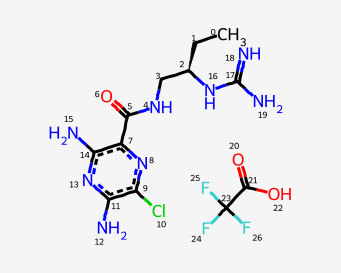 CC[C@H](CNC(=O)c1nc(Cl)c(N)nc1N)NC(=N)N.O=C(O)C(F)(F)F